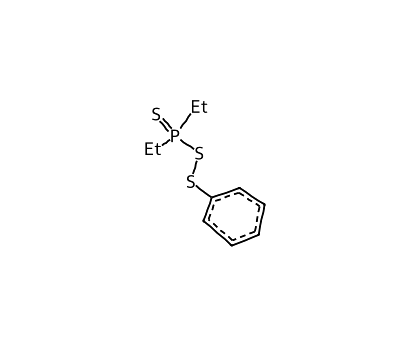 CCP(=S)(CC)SSc1ccccc1